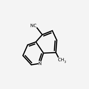 Cc1ccc(C#N)c2cccnc12